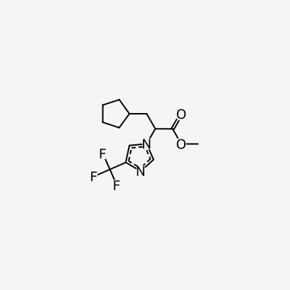 COC(=O)C(CC1CCCC1)n1cnc(C(F)(F)F)c1